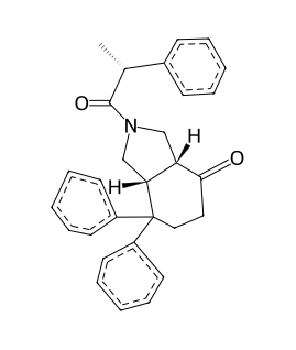 C[C@@H](C(=O)N1C[C@@H]2C(=O)CCC(c3ccccc3)(c3ccccc3)[C@@H]2C1)c1ccccc1